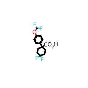 O=C(O)C1(c2ccc(OC(F)F)cc2)CCC(F)(F)CC1